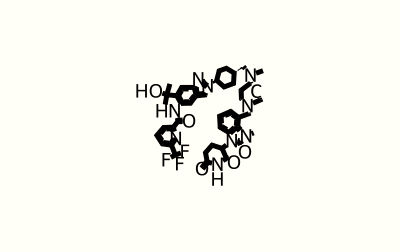 CN(C[C@H]1CC[C@H](n2cc3cc(NC(=O)c4cccc(C(F)(F)F)n4)c(C(C)(C)O)cc3n2)CC1)C1CCN(Cc2cccc3c2n(C)c(=O)n3C2CCC(=O)NC2=O)CC1